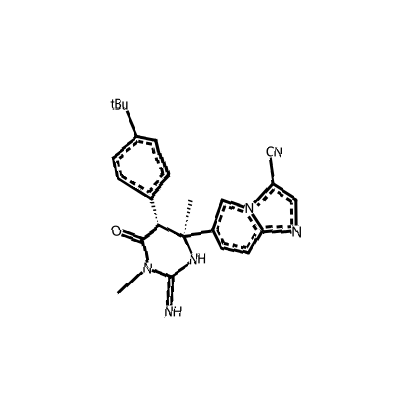 CN1C(=N)N[C@](C)(c2ccc3ncc(C#N)n3c2)[C@@H](c2ccc(C(C)(C)C)cc2)C1=O